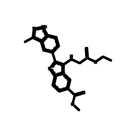 CCOC(=O)CNc1c(-c2ccc3[nH]nc(C)c3c2)nc2ccc(C(=O)OC)cn12